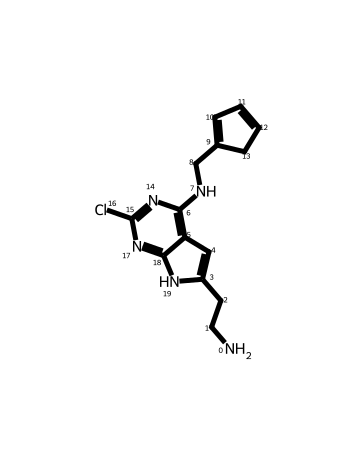 NCCc1cc2c(NCC3=CC=CC3)nc(Cl)nc2[nH]1